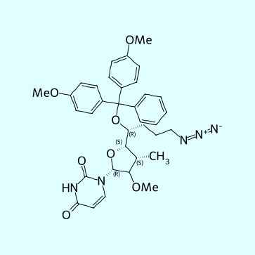 COc1ccc(C(O[C@H](CCCN=[N+]=[N-])[C@H]2O[C@@H](n3ccc(=O)[nH]c3=O)C(OC)[C@H]2C)(c2ccccc2)c2ccc(OC)cc2)cc1